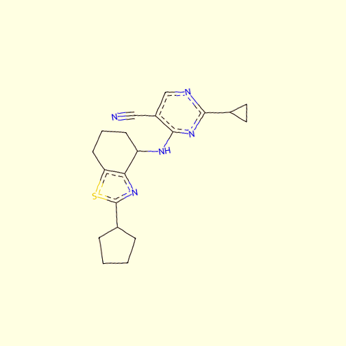 N#Cc1cnc(C2CC2)nc1NC1CCCc2sc(C3CCCC3)nc21